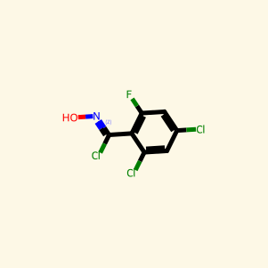 O/N=C(\Cl)c1c(F)cc(Cl)cc1Cl